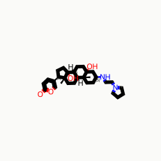 C[C@]12CC[C@H](NCCN3CCCC3)C[C@@]1(O)CC[C@@H]1[C@@H]2CC[C@]2(C)[C@@H](c3ccc(=O)oc3)CC[C@]12O